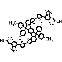 Cc1ccc(C2(c3ccc(C)cc3)c3cc4c(cc3-c3c2ccc2cc(-c5ccc(-c6ccc(C=C(C#N)C#N)c7nsnc67)s5)sc32)C(c2ccc(C)cc2)(c2ccc(C)cc2)c2ccc3cc(-c5ccc(-c6ccc(C=C(C#N)C#N)c7nsnc67)s5)sc3c2-4)cc1